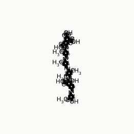 COc1cc(N=Nc2ccc3c(O)c(N=Nc4cc(C)c(N=Nc5ccc(N=Nc6ccc(N=Nc7cc8c(S(=O)(=O)O)cc(S(=O)(=O)O)cc8cc7S(=O)(=O)O)c(C)c6)c(C)c5)cc4C)c(S(=O)(=O)O)cc3c2)ccc1O